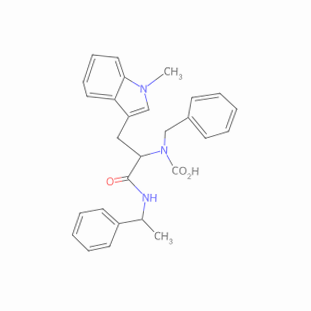 CC(NC(=O)C(Cc1cn(C)c2ccccc12)N(Cc1ccccc1)C(=O)O)c1ccccc1